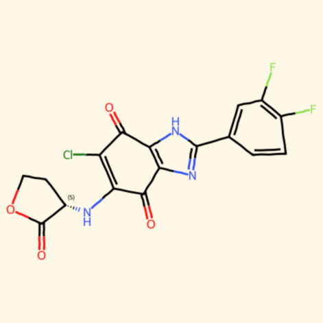 O=C1C(N[C@H]2CCOC2=O)=C(Cl)C(=O)c2[nH]c(-c3ccc(F)c(F)c3)nc21